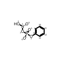 O=[N+](O)OP(=O)([O-])Oc1ccccc1